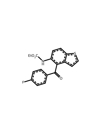 [CH2]COC(=O)Nc1ccc2sccc2c1C(=O)c1ccc(F)cc1